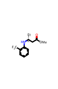 CC[C@H](CC(=O)OC)Nc1ccccc1C(F)(F)F